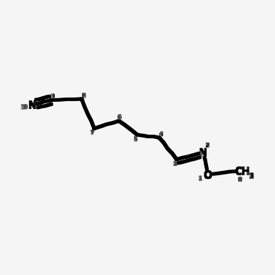 CON=CCCCCCC#N